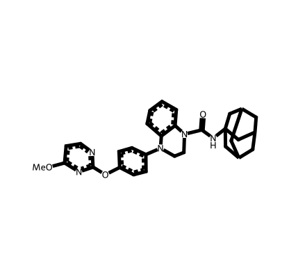 COc1ccnc(Oc2ccc(N3CCN(C(=O)NC45CC6CC(CC(C6)C4)C5)c4ccccc43)cc2)n1